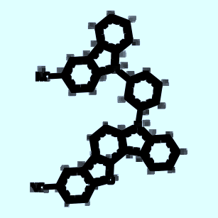 N#Cc1ccc2oc3c(ccc4c3c3ccccc3n4-c3cccc(-n4c5ccccc5c5cc(C#N)ccc54)c3)c2c1